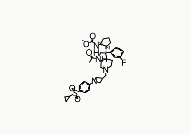 COC(=O)N[C@H]1CCC[C@@H]1C(CNC(C)=O)(c1cccc(F)c1)C1CCN(CC2CN(c3ccc(S(=O)(=O)C4CC4)cc3)C2)CC1